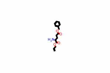 C=CCOC(=O)[C@H](N)CCC(=O)OCc1ccccc1